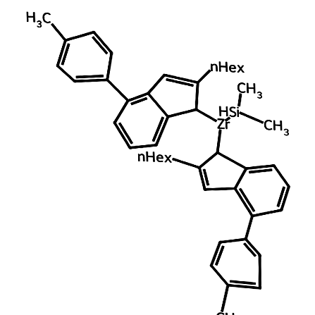 CCCCCCC1=Cc2c(-c3ccc(C)cc3)cccc2[CH]1[Zr]([CH]1C(CCCCCC)=Cc2c(-c3ccc(C)cc3)cccc21)[SiH](C)C